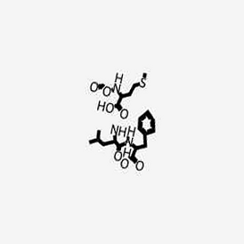 CC(C)CC(N)C(=O)NC(Cc1ccccc1)C(=O)O.CSCCC(NOC=O)C(=O)O